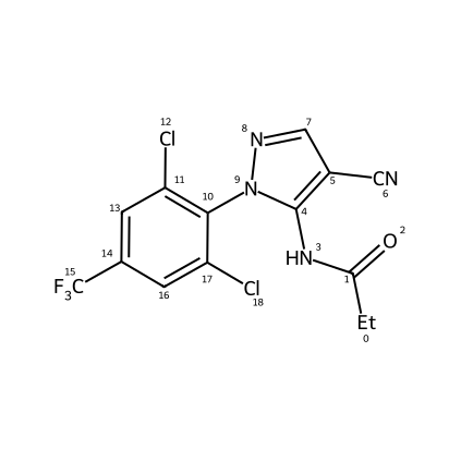 CCC(=O)Nc1c(C#N)cnn1-c1c(Cl)cc(C(F)(F)F)cc1Cl